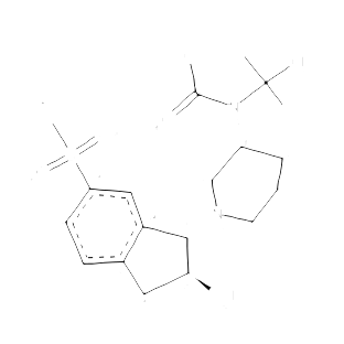 CC(C)(C)N(C(=O)O)[C@@H]1CCCN([C@H]2c3cc(S(C)(=O)=O)ccc3C[C@@H]2O)C1